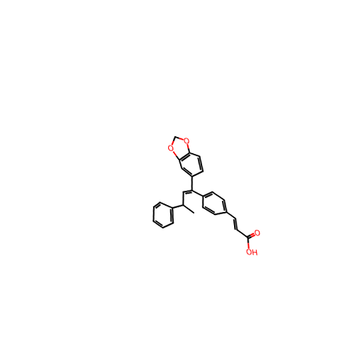 CC(C=C(c1ccc(C=CC(=O)O)cc1)c1ccc2c(c1)OCO2)c1ccccc1